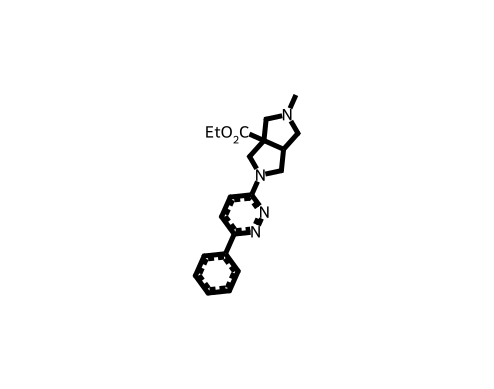 CCOC(=O)C12CN(C)CC1CN(c1ccc(-c3ccccc3)nn1)C2